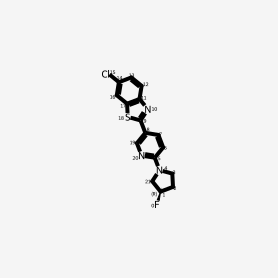 F[C@@H]1CCN(c2ccc(-c3nc4ccc(Cl)cc4s3)cn2)C1